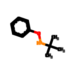 CC(C)(C)POc1ccccc1